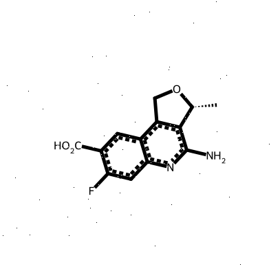 C[C@H]1OCc2c1c(N)nc1cc(F)c(C(=O)O)cc21